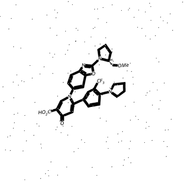 COC[C@H]1CCCN1c1nc2ccc(-n3cc(C(=O)O)c(=O)cc3-c3ccc(N4CCCC4)c(C(F)(F)F)c3)cc2o1